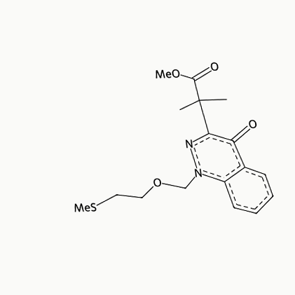 COC(=O)C(C)(C)c1nn(COCCSC)c2ccccc2c1=O